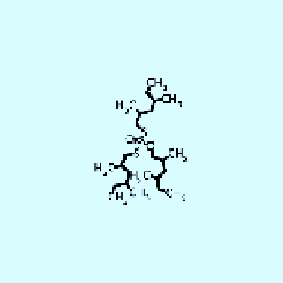 CCC(C)CC(C)COP(=O)(SCC(C)CC(C)CC)SCC(C)CC(C)CC